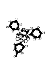 Cc1ccc(S(=O)(=O)C(S(=O)(=O)c2ccccc2)S(=O)(=O)c2ccccc2)cc1